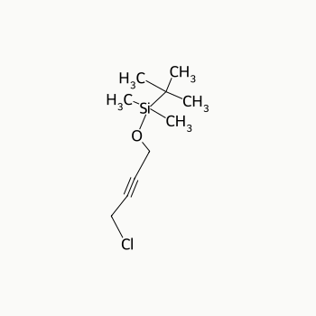 CC(C)(C)[Si](C)(C)OCC#CCCl